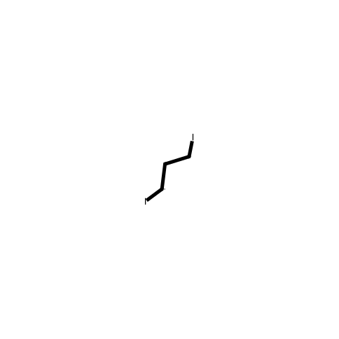 I[CH]CCI